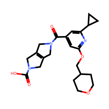 O=C(O)N1CC2=C(C1)CN(C(=O)c1cc(OCC3CCOCC3)nc(C3CC3)c1)C2